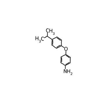 CC(C)c1ccc(Oc2ccc(N)cc2)cc1